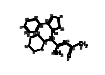 CC(=O)/N=C(\N)N(C1CCCCC1)n1cccc1-c1ccccc1